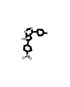 O=[N+]([O-])c1ccc(-c2cc3c(-c4ccc(F)cc4)ncnc3[nH]2)cc1